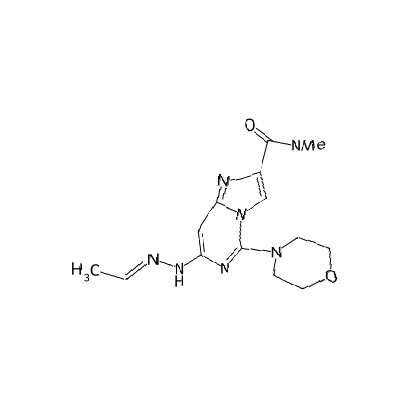 C/C=N/Nc1cc2nc(C(=O)NC)cn2c(N2CCOCC2)n1